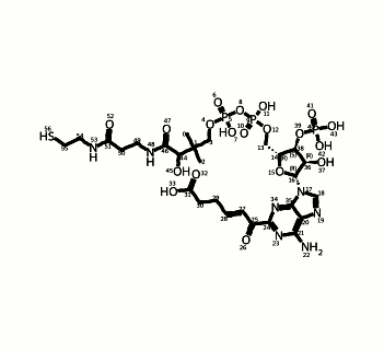 CC(C)(COP(=O)(O)OP(=O)(O)OC[C@H]1O[C@@H](n2cnc3c(N)nc(C(=O)C=CCCC(=O)O)nc32)[C@H](O)[C@@H]1OP(=O)(O)O)C(O)C(=O)NCCC(=O)NCCS